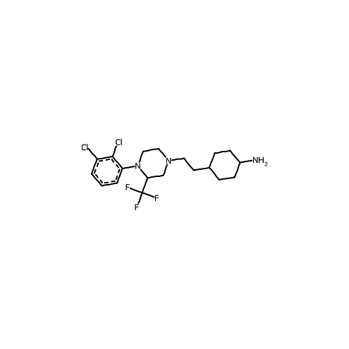 NC1CCC(CCN2CCN(c3cccc(Cl)c3Cl)C(C(F)(F)F)C2)CC1